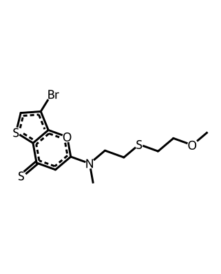 COCCSCCN(C)c1cc(=S)c2scc(Br)c2o1